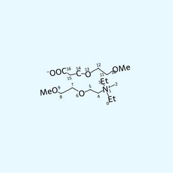 CC[N+](C)(CC)CCOCCOC.COCCOCCC(=O)[O-]